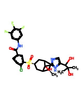 C[C@H]1CC2C[C@@H](S(=O)(=O)c3cc(C(=O)Nc4cc(F)c(F)c(F)c4)ccc3Cl)CC1[C@@]2(O)c1ncc(C(O)C(C)(C)O)[nH]1